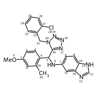 COc1ccc(C(Nc2ccc3[nH]cnc3c2)c2nnnn2Cc2ccccc2Cl)c(C)c1